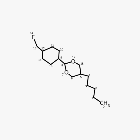 CCCCCC1COC(C2CCC(CF)CC2)OC1